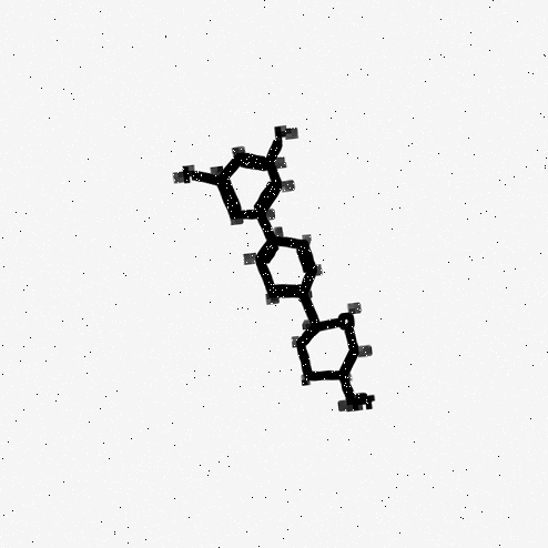 CCCC1CCC(c2ccc(-c3cc(F)cc(F)c3)cc2)OC1